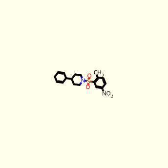 Cc1ccc([N+](=O)[O-])cc1S(=O)(=O)N1CCC(C2C=CCC=C2)CC1